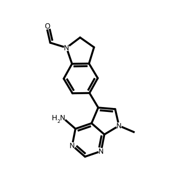 Cn1cc(-c2ccc3c(c2)CCN3C=O)c2c(N)ncnc21